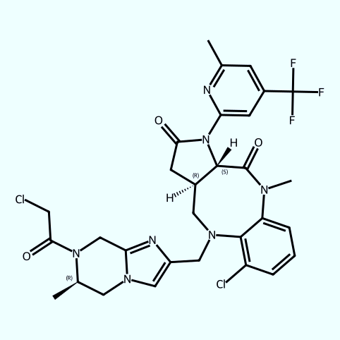 Cc1cc(C(F)(F)F)cc(N2C(=O)C[C@@H]3CN(Cc4cn5c(n4)CN(C(=O)CCl)[C@H](C)C5)c4c(Cl)cccc4N(C)C(=O)[C@H]32)n1